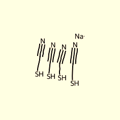 N#CS.N#CS.N#CS.N#CS.[Na]